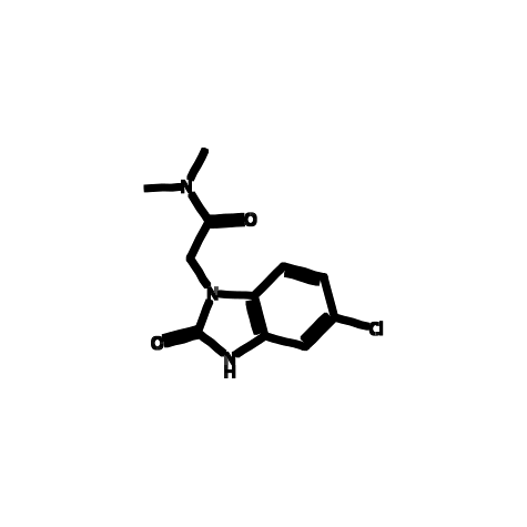 CN(C)C(=O)Cn1c(=O)[nH]c2cc(Cl)ccc21